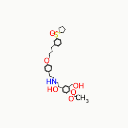 CC(=O)Oc1ccc([C@@H](O)CNCCc2ccc(OCCCCc3cccc([S+]([O-])C4CCCC4)c3)cc2)cc1CO